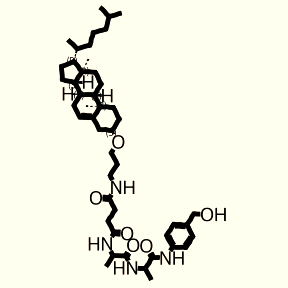 CC(C)CCCC(C)[C@H]1CC[C@H]2[C@@H]3CC=C4C[C@@H](OCCCNC(=O)CCC(=O)NC(C)C(=O)NC(C)C(=O)Nc5ccc(CO)cc5)CC[C@]4(C)[C@H]3CC[C@]12C